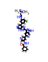 CN(C)CCNc1cc(F)cc(-c2cncc3[nH]c(-c4n[nH]c5cnc(-c6cncc(NC(=O)C7CCCCC7)c6)cc45)nc23)c1